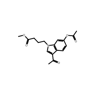 COC(=O)CCCn1cc(C(C)=O)c2ccc(OC(C)=O)cc21